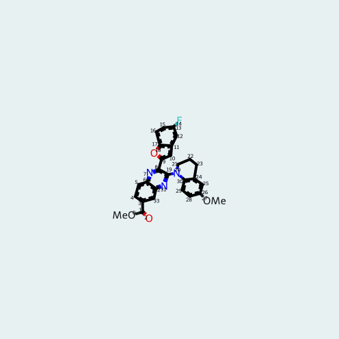 COC(=O)c1ccc2nc(-c3cc4cc(F)ccc4o3)c(N3CCCc4cc(OC)ccc43)nc2c1